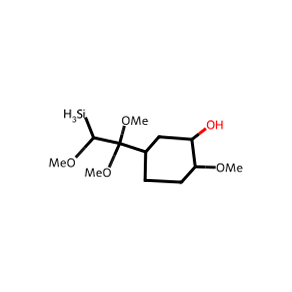 COC1CCC(C(OC)(OC)C([SiH3])OC)CC1O